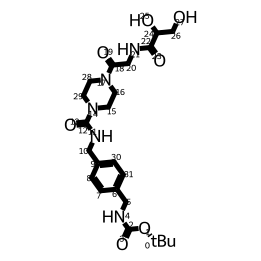 CC(C)(C)OC(=O)NCc1ccc(CNC(=O)N2CCN(C(=O)CNC(=O)C(O)CO)CC2)cc1